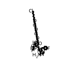 CC(=O)N(OC(=O)C(F)(F)F)[C@@H](CSc1nc2c(N)ncnc2n1Cc1ccc(F)cc1)C(=O)NCCOCCOCCOCCOCCOCCCCCCCl